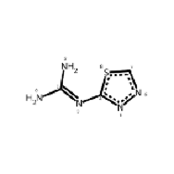 NC(N)=Nc1nncs1